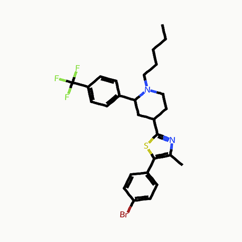 CCCCCN1CCC(c2nc(C)c(-c3ccc(Br)cc3)s2)CC1c1ccc(C(F)(F)F)cc1